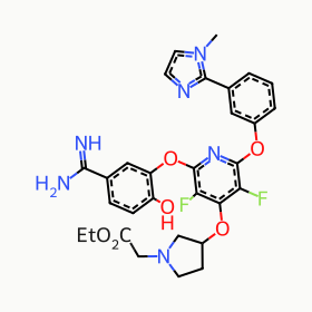 CCOC(=O)CN1CCC(Oc2c(F)c(Oc3cccc(-c4nccn4C)c3)nc(Oc3cc(C(=N)N)ccc3O)c2F)C1